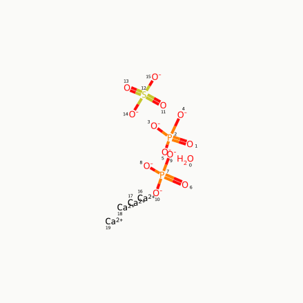 O.O=P([O-])([O-])[O-].O=P([O-])([O-])[O-].O=S(=O)([O-])[O-].[Ca+2].[Ca+2].[Ca+2].[Ca+2]